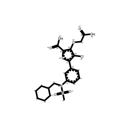 CS(=O)(=O)N(CC1CCCCC1)c1cccc(-c2sc(C(=O)O)c(OCC(=O)O)c2Cl)c1